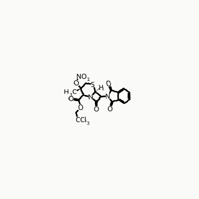 C[C@@]1(O[N+](=O)[O-])CS[C@H]2C(N3C(=O)c4ccccc4C3=O)C(=O)N2C1C(=O)OCC(Cl)(Cl)Cl